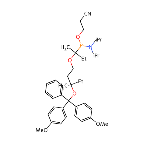 CCC(C)(CCOC(C)(CC)P(OCCC#N)N(C(C)C)C(C)C)OC(c1ccccc1)(c1ccc(OC)cc1)c1ccc(OC)cc1